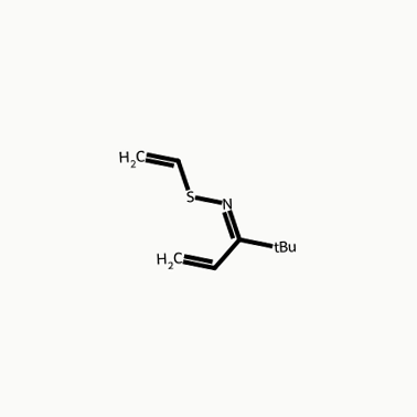 C=CS/N=C(\C=C)C(C)(C)C